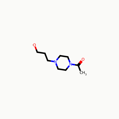 CC(=O)N1CCN(CCC[O])CC1